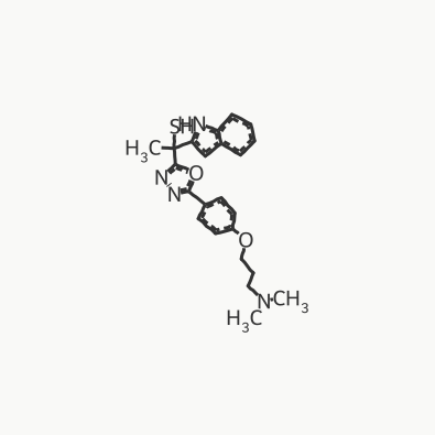 CN(C)CCCOc1ccc(-c2nnc(C(C)(S)c3cc4ccccc4[nH]3)o2)cc1